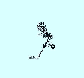 CCCCCCCCCCCCCCCCCCOCC(COP(=O)(O)OC1C2OC(C)(c3ccc4c(N)ncnn34)C(O)C21O)OC(O)c1ccccc1